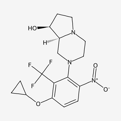 O=[N+]([O-])c1ccc(OC2CC2)c(C(F)(F)F)c1N1CCN2CC[C@H](O)[C@@H]2C1